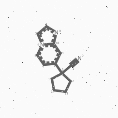 N#CC1(c2ccn3ccnc3c2)CCCC1